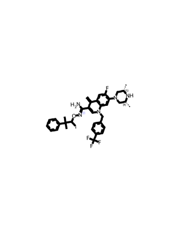 C=C1C(/C(N)=N/OC(I)C(C)(C)c2ccccc2)=CN(Cc2ccc(C(F)(F)F)cc2)c2cc(N3C[C@@H](C)N[C@@H](C)C3)c(F)cc21